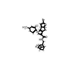 CC1C=C(Cl)C(n2nc(C(=O)NCC3CCC4CC3C4(C)C)c3c2-c2cc(Br)sc2C3)=CC1